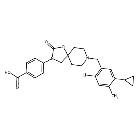 Cc1cc(Cl)c(CN2CCC3(CC2)CN(c2ccc(C(=O)O)cc2)C(=O)O3)cc1C1CC1